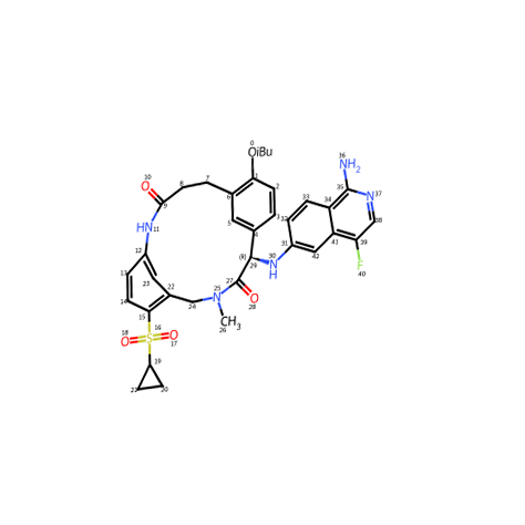 CC(C)COc1ccc2cc1CCC(=O)Nc1ccc(S(=O)(=O)C3CC3)c(c1)CN(C)C(=O)[C@@H]2Nc1ccc2c(N)ncc(F)c2c1